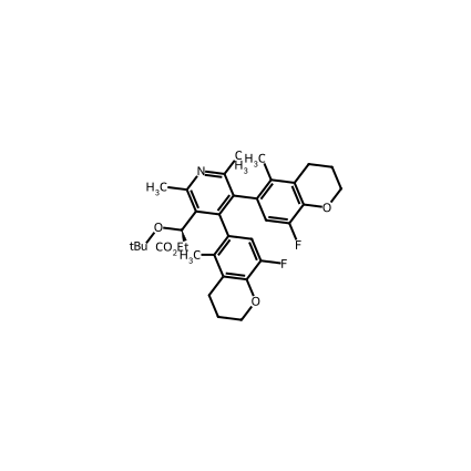 CCOC(=O)[C@@H](OC(C)(C)C)c1c(C)nc(C)c(-c2cc(F)c3c(c2C)CCCO3)c1-c1cc(F)c2c(c1C)CCCO2